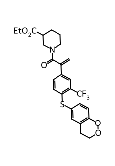 C=C(C(=O)N1CCCC(C(=O)OCC)C1)c1ccc(Sc2ccc3c(c2)CCOO3)c(C(F)(F)F)c1